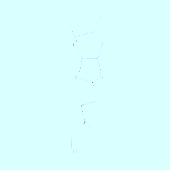 COC(=O)CSc1nc2cc(I)c(Cl)cc2[nH]1